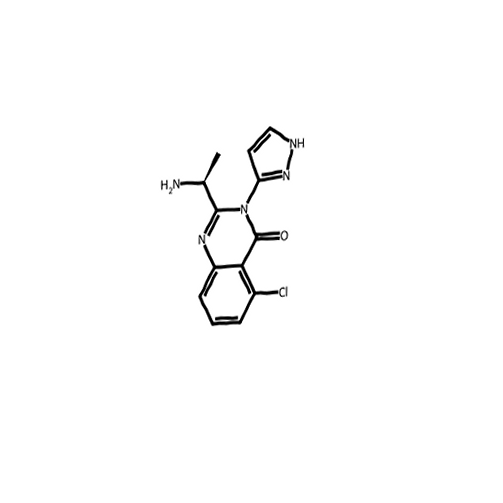 C[C@H](N)c1nc2cccc(Cl)c2c(=O)n1-c1cc[nH]n1